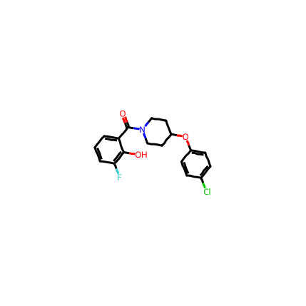 O=C(c1cccc(F)c1O)N1CCC(Oc2ccc(Cl)cc2)CC1